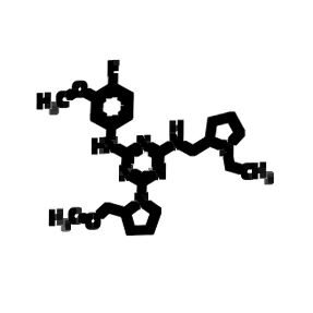 CCN1CCCC1CNc1nc(Nc2ccc(F)c(OC)c2)nc(N2CCCC2COC)n1